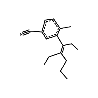 CCC/C(CC)=C(\CC)c1cc(C#N)ccc1C